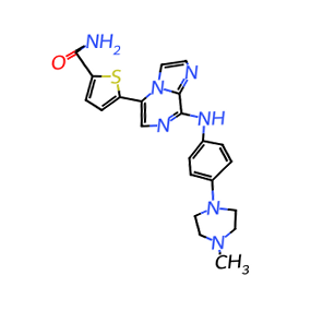 CN1CCN(c2ccc(Nc3ncc(-c4ccc(C(N)=O)s4)n4ccnc34)cc2)CC1